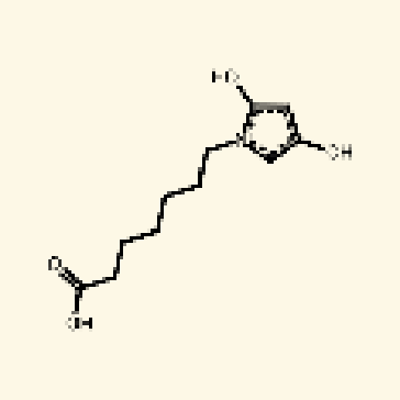 O=C(O)CCCCCCn1cc(O)cc1O